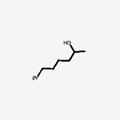 [CH2]C(O)CCCCC(C)C